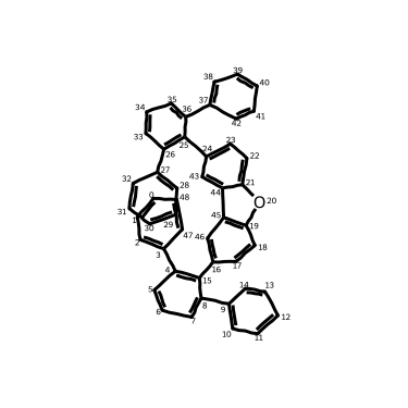 c1ccc(-c2cccc(-c3ccccc3)c2-c2ccc3oc4ccc(-c5c(-c6ccccc6)cccc5-c5ccccc5)cc4c3c2)cc1